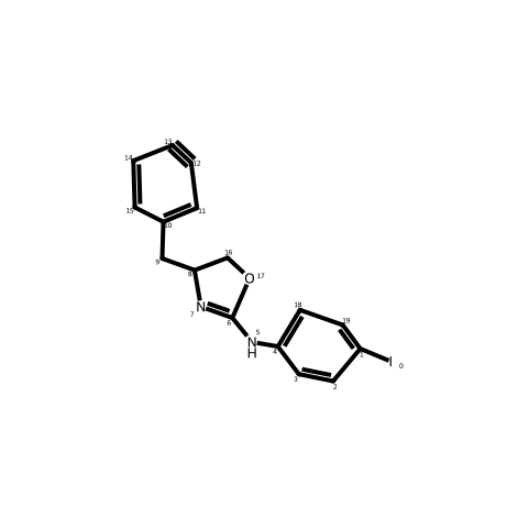 Ic1ccc(NC2=NC(Cc3cc#ccc3)CO2)cc1